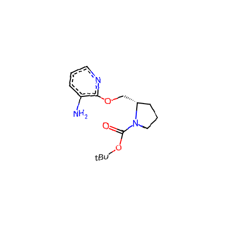 CC(C)(C)OC(=O)N1CCC[C@H]1COc1ncccc1N